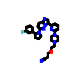 N#CCCOCCN1CCN(c2cccc(-c3cnc4ccc(N5CCCC5c5cccc(F)c5)nn34)n2)CC1